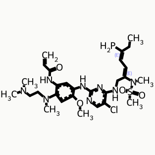 C=CC(=O)Nc1cc(Nc2ncc(Cl)c(NC/C(=C\C=C(\P)CC)N(C)S(C)(=O)=O)n2)c(OC)cc1N(C)CCN(C)C